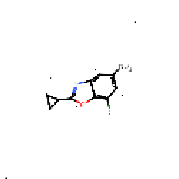 O=[N+]([O-])c1cc(Cl)c2oc(C3CC3)nc2c1